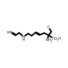 N=CCNCCC=CCC(N)(CF)C(=O)O